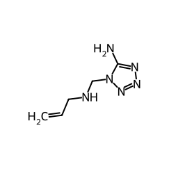 C=CCNCn1nnnc1N